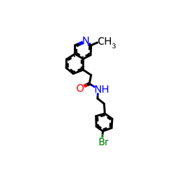 Cc1cc2c(CC(=O)NCCc3ccc(Br)cc3)cccc2cn1